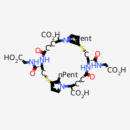 CCCCCc1c2ccn1[C@H](C(=O)O)CCC(=O)N[C@@H](C(=O)NCC(=O)O)CSc1ccn(c1CCCCC)[C@H](C(=O)O)CCC(=O)N[C@@H](C(=O)NCC(=O)O)CS2